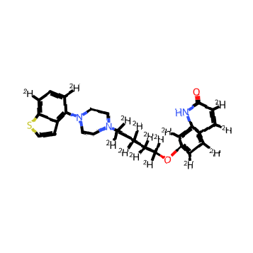 [2H]c1cc([2H])c2sccc2c1N1CCN(C([2H])([2H])C([2H])([2H])C([2H])([2H])C([2H])([2H])Oc2c([2H])c([2H])c3c([2H])c([2H])c(=O)[nH]c3c2[2H])CC1